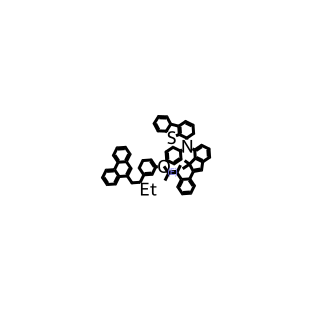 CCC(Cc1cc2ccccc2c2ccccc12)C1=CC(O/C(C)=C(\C)c2ccccc2C2=Cc3cccc(N(C4C=CC=CC4)C4CC=CC5=C4SC4C=CC=CC54)c3C2(C)C)=CCC1